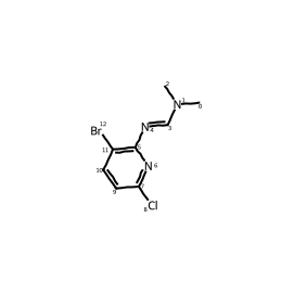 CN(C)/C=N/c1nc(Cl)ccc1Br